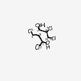 OC(Cl)CCCl.OCC(Cl)CCl